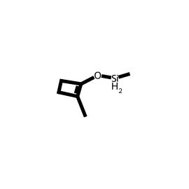 C[SiH2]OC1=C(C)CC1